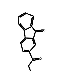 CCC(=O)c1ccc2c(c1)C(=O)c1ccccc1-2